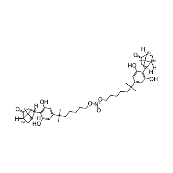 CC(C)(CCCCCO[N+](=O)OCCCCCC(C)(C)c1cc(O)c([C@H]2CC(=O)[C@H]3C[C@H]2C3(C)C)c(O)c1)c1cc(O)c([C@H]2CC(=O)[C@H]3C[C@H]2C3(C)C)c(O)c1